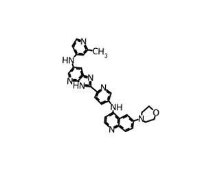 Cc1cc(Nc2cnc3[nH]c(-c4ccc(Nc5ccnc6ccc(N7CCOCC7)cc56)cn4)nc3c2)ccn1